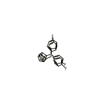 Fc1ccc(P(c2ccc(F)cc2)[C]23[CH]4[CH]5[CH]6[CH]2[Fe]56432789[CH]3[CH]2[CH]7[C]8(P(c2ccc(F)cc2)c2ccc(F)cc2)[CH]39)cc1